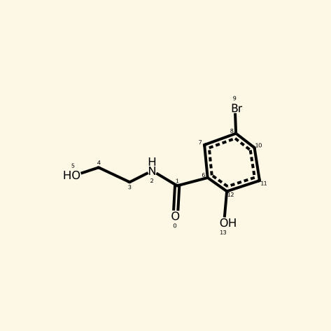 O=C(NCCO)c1cc(Br)ccc1O